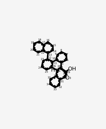 CC(C(=O)O)c1ccccc1-c1c(-c2cccc3ccccc23)cccc1-c1cccc2ccccc12